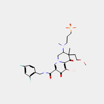 COCCC1(C)C(=O)c2c(O)c(=O)c(C(=O)NCc3ccc(F)cc3F)cn2CC1N(C)CCCP(=O)(O)O